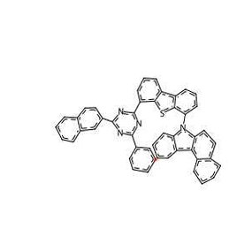 c1ccc(-c2nc(-c3ccc4ccccc4c3)nc(-c3cccc4c3sc3c(-n5c6ccccc6c6c7ccccc7ccc65)cccc34)n2)cc1